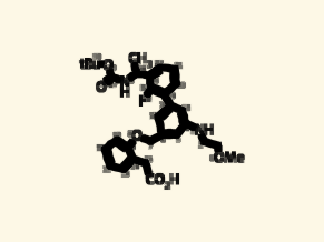 COCCNc1cc(COc2ccccc2CC(=O)O)cc(-c2cccc(C(C)NC(=O)OC(C)(C)C)c2F)c1